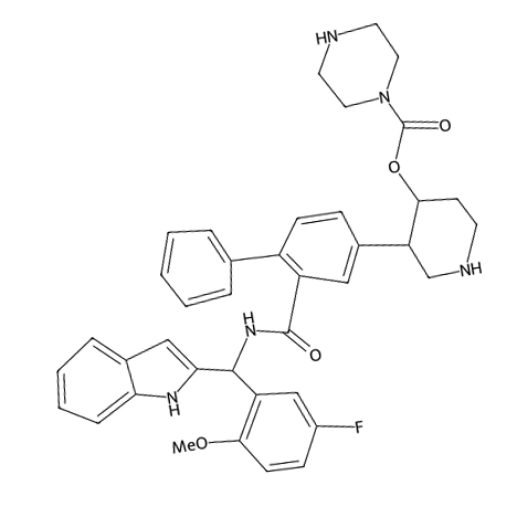 COc1ccc(F)cc1C(NC(=O)c1cc(C2CNCCC2OC(=O)N2CCNCC2)ccc1-c1ccccc1)c1cc2ccccc2[nH]1